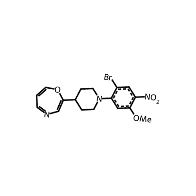 COc1cc(N2CCC(C3=CN=CC=CO3)CC2)c(Br)cc1[N+](=O)[O-]